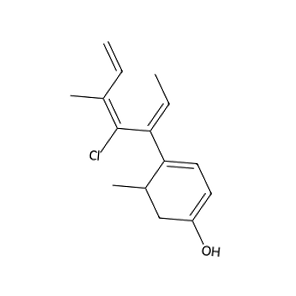 C=C/C(C)=C(Cl)\C(=C/C)C1=CC=C(O)CC1C